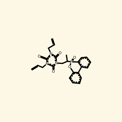 C=CCn1c(=O)n(CC=C)c(=O)n(CC(C)P2(=O)Oc3ccccc3-c3ccccc32)c1=O